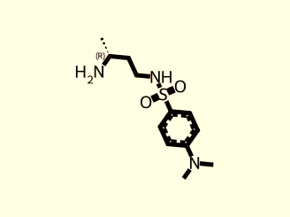 C[C@@H](N)CCNS(=O)(=O)c1ccc(N(C)C)cc1